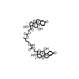 CC(CCONC(=O)OCC(=O)[C@@]1(O)[C@H](C)C[C@H]2[C@@H]3CCC4=CC(=O)C=C[C@]4(C)[C@@]3(F)[C@@H](O)C[C@@]21C)OC(=O)OCC(=O)[C@@]1(O)[C@H](C)C[C@H]2[C@@H]3CCC4=CC(=O)C=C[C@]4(C)[C@@]3(F)[C@@H](O)C[C@@]21C